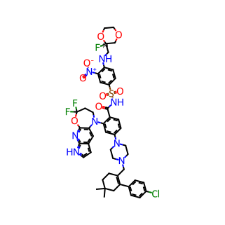 CC1(C)CCC(CN2CCN(c3ccc(C(=O)NS(=O)(=O)c4ccc(NC[C@@]5(F)COCCO5)c([N+](=O)[O-])c4)c(N4CCC(F)(F)Oc5nc6[nH]ccc6cc54)c3)CC2)=C(c2ccc(Cl)cc2)C1